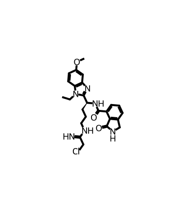 CCn1c([C@H](CCCNC(=N)CCl)NC(=O)c2cccc3c2C(=O)NC3)nc2cc(OC)ccc21